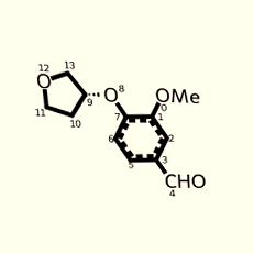 COc1cc(C=O)ccc1O[C@@H]1CCOC1